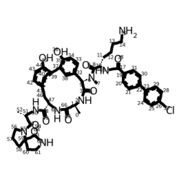 C[C@@H]1NC(=O)[C@@H](N(C)C(=O)[C@H](CCCCN)NC(=O)c2ccc(-c3ccc(Cl)cc3)cc2)c2ccc(O)c(c2)-c2cc(ccc2O)C[C@@H](C(=O)N[C@@H](C)C(=O)N2CCCC23CCNC3=O)NC1=O